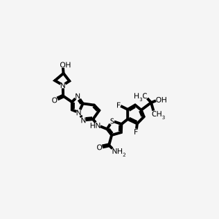 CC(C)(O)c1cc(F)c(-c2cc(C(N)=O)c(Nc3ccc4nc(C(=O)N5CC(O)C5)cn4n3)s2)c(F)c1